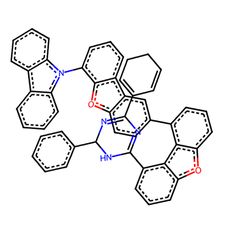 C1=CC(C2=NC(c3ccccc3)NC(c3cccc4oc5cccc(-c6ccc7oc8c(-n9c%10ccccc%10c%10ccccc%109)cccc8c7c6)c5c34)=N2)=CCC1